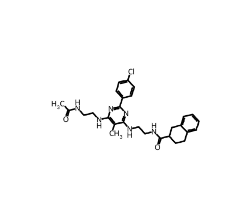 CC(=O)NCCNc1nc(-c2ccc(Cl)cc2)nc(NCCNC(=O)C2CCc3ccccc3C2)c1C